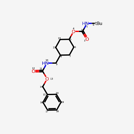 CC(C)(C)NC(=O)OC1CCC(CNC(=O)OCc2ccccc2)CC1